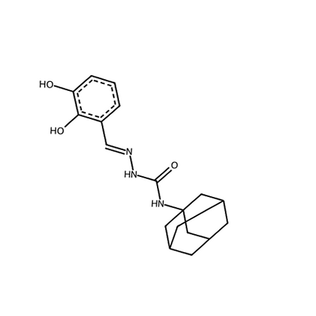 O=C(N/N=C/c1cccc(O)c1O)NC12CC3CC(CC(C3)C1)C2